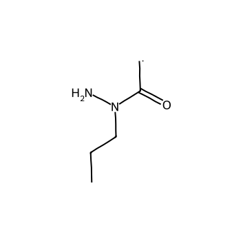 [CH2]C(=O)N(N)CCC